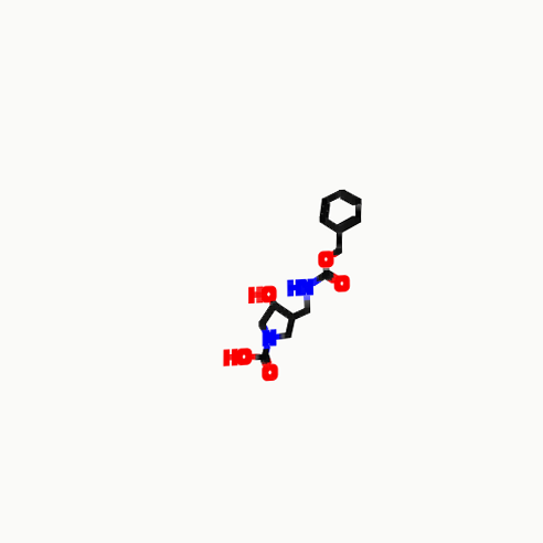 O=C(NCC1CN(C(=O)O)CC1O)OCc1ccccc1